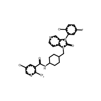 O=C(NC1CCC(Cn2c(=O)n(-c3cc(F)ccc3Cl)c3cnccc32)CC1)c1cc(Cl)cnc1C(F)(F)F